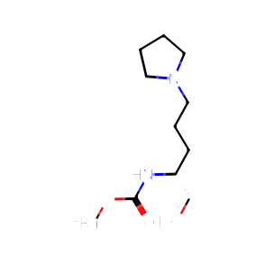 CC(C)(C)OC(=O)N[C@@H](CO)CCCN1CCCC1